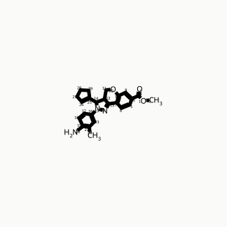 COC(=O)c1ccc2c(c1)OCC1C2=NN(c2ccc(N)c(C)c2)C1C1=CCCC1